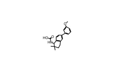 COc1cccc(-c2ccc3c(c2)CCC(C)(C)C3NC(=O)O)c1